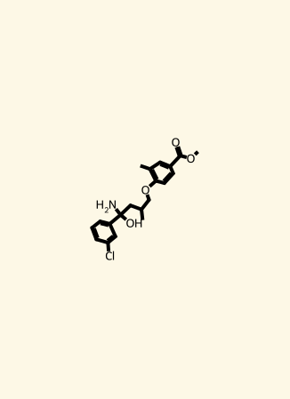 COC(=O)c1ccc(OCC(C)CC(N)(O)c2cccc(Cl)c2)c(C)c1